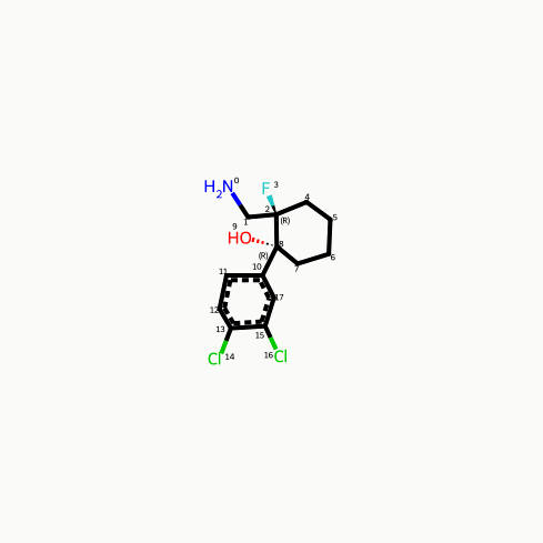 NC[C@]1(F)CCCC[C@@]1(O)c1ccc(Cl)c(Cl)c1